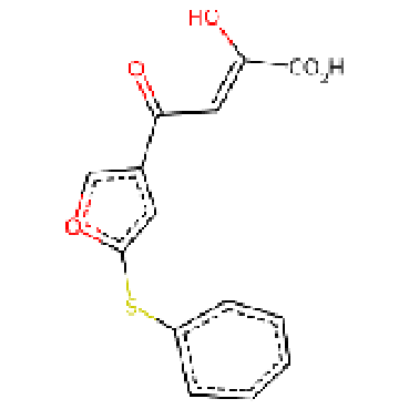 O=C(O)/C(O)=C/C(=O)c1coc(Sc2ccccc2)c1